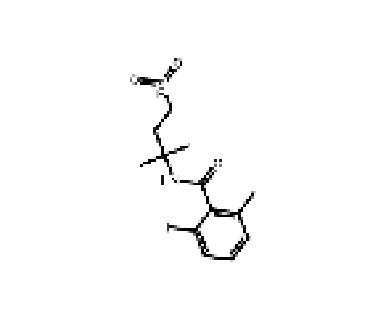 Cc1cccc(I)c1C(=O)NC(C)(C)CC[SH](=O)=O